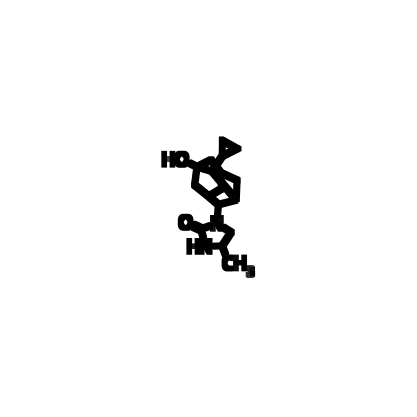 CC1CN(C2C3CC4CC2C(C2CC2)C(O)(C4)C3)C(=O)N1